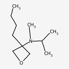 CCCCC1(N(C)C(C)C)COC1